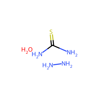 NC(N)=S.NN.O